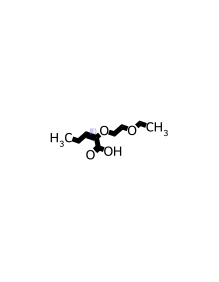 CC/C=C(/OCCOCC)C(=O)O